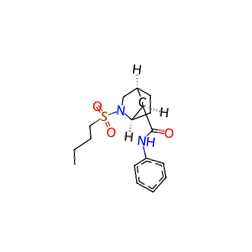 CCCCS(=O)(=O)N1C[C@H]2CC[C@@H]1[C@H](C(=O)Nc1ccccc1)C2